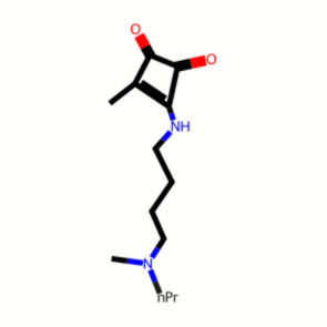 CCCN(C)CCCCNc1c(C)c(=O)c1=O